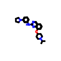 CC(C)N1CCC(Oc2cccc3cnc(Nc4cccc(N5CCCC5)c4)nc23)CC1